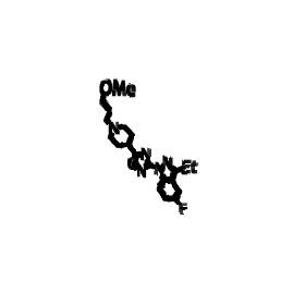 CCc1nn(-c2noc(C3CCN(CCCOC)CC3)n2)c2ccc(F)cc12